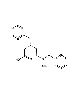 CN(CCN(CC(=O)O)Cc1ccccn1)Cc1ccccn1